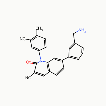 Cc1ccc(-n2c(=O)c(C#N)cc3ccc(-c4cccc(CN)c4)cc32)cc1C#N